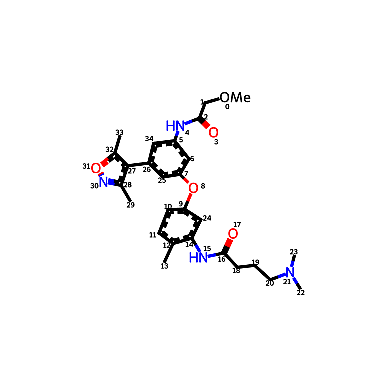 COCC(=O)Nc1cc(Oc2ccc(C)c(NC(=O)CCCN(C)C)c2)cc(-c2c(C)noc2C)c1